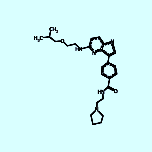 CC(C)COCCNc1ccc2ncc(-c3ccc(C(=O)NCCN4CCCC4)cc3)n2n1